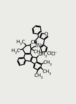 Cc1cc2c(c(C)c1C)C(C)c1c3c(c4ccccc4c1-2)C(C)C(C)C(C)[C]3(C)[Zr+2](=[CH]Cc1ccccc1)[C]1=C(c2ccoc2)C=CC1.[Cl-].[Cl-]